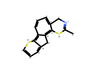 CC1=NCC2=CC=CC3=C4SC=CC=C4CC3=C2S1